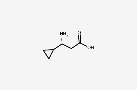 N[C@H](CC(=O)O)C1CC1